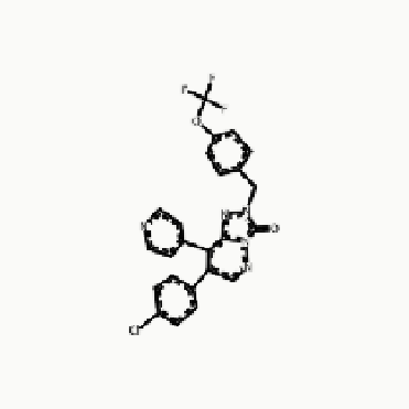 O=c1n(Cc2ccc(OC(F)(F)F)cc2)nc2c(-c3ccncc3)c(-c3ccc(Cl)cc3)cnn12